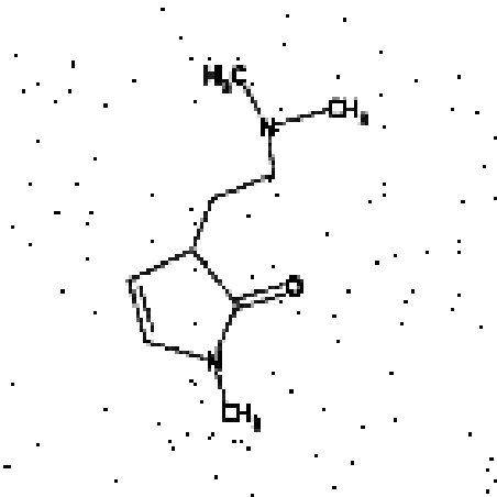 CN(C)CCC1C=CN(C)C1=O